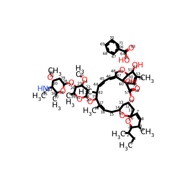 CCC(C)C1OC2(C=CC1C)CC1CC(CC=C(C)C(OC3CC(OC)C(OC4CC(OC)C(NC)C(C)O4)C(C)O3)C(C)C=CC=C3COC4C(O)C(C)=CC(C(=O)O1)C34O)O2.O=C(O)c1ccccc1